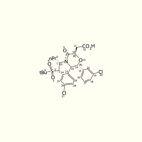 CCC[C@@H](CS(=O)(=O)C(C)(C)C)N1C(=O)[C@@H](CC(=O)O)O[C@H](c2cccc(Cl)c2)C1c1ccc(Cl)cc1